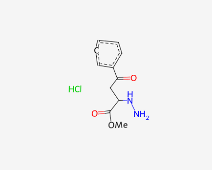 COC(=O)C(CC(=O)c1ccccc1)NN.Cl